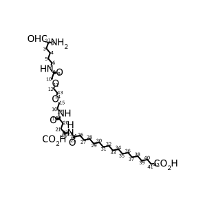 NC(C=O)CCCCNC(=O)COCCOCCNC(=O)CC[C@H](NC(=O)CCCCCCCCCCCCCCCCC(=O)O)C(=O)O